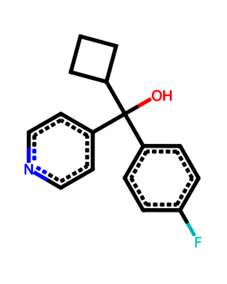 OC(c1ccncc1)(c1ccc(F)cc1)C1CCC1